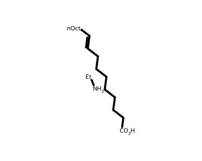 CCCCCCCCC=CCCCCCCCC(=O)O.CCN